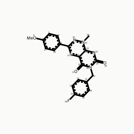 COc1ccc(-c2nc3c(=O)n(Cc4ccc(F)cc4)c(=O)nc-3n(C)n2)cc1